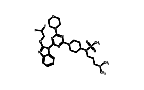 CN(C)CCCN(C1CCN(c2nc(N3CCOCC3)nc(-n3c(OCC(F)F)nc4ccccc43)n2)CC1)S(C)(=O)=O